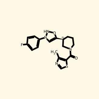 Cc1ncsc1C(=O)N1CCC[C@H](C2=CN(c3ccc(F)cc3)NO2)C1